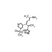 C=C(/C(=C\C=C(/C)N)c1cncc(S(C)(=O)=O)c1)c1nnn[nH]1